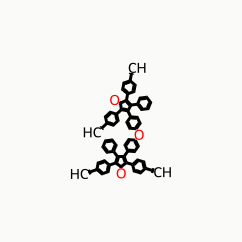 C#Cc1ccc(C2=C(c3ccccc3)C(c3ccc(Oc4ccc(C5=C(c6ccc(C#C)cc6)C(=O)C(c6ccc(C#C)cc6)=C5c5ccccc5)cc4)cc3)=C(c3ccc(C#C)cc3)C2=O)cc1